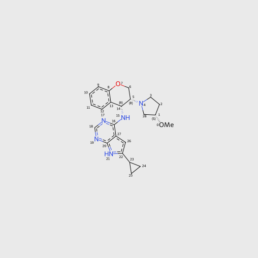 CO[C@H]1CCN([C@H]2COc3ccccc3[C@H]2Nc2ncnc3[nH]c(C4CC4)cc23)C1